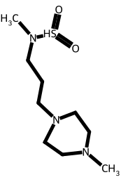 CN1CCN(CCCN(C)[SH](=O)=O)CC1